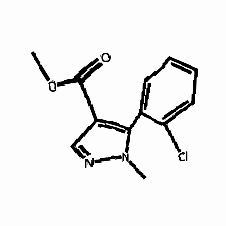 COC(=O)c1cnn(C)c1-c1ccccc1Cl